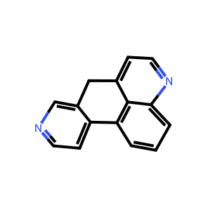 c1cc2c3c(ccnc3c1)Cc1cnccc1-2